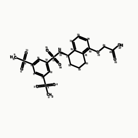 CS(=O)(=O)c1cc(S(C)(=O)=O)cc(S(=O)(=O)N[C@@H]2CCCc3c(OCC(=O)O)cccc32)c1